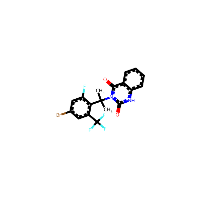 CC(C)(c1c(F)cc(Br)cc1C(F)(F)F)n1c(=O)[nH]c2ccccc2c1=O